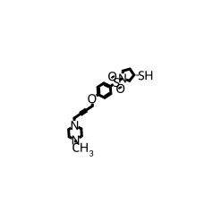 CN1CCN(CC#CCOc2ccc(S(=O)(=O)N3CC[C@H](S)C3)cc2)CC1